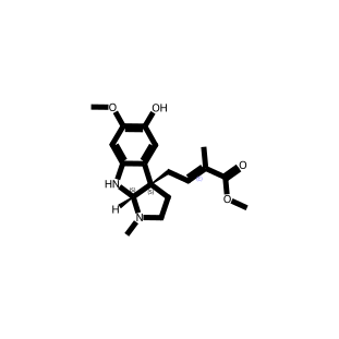 COC(=O)/C(C)=C/C[C@@]12CCN(C)[C@@H]1Nc1cc(OC)c(O)cc12